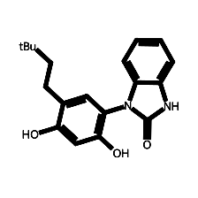 CC(C)(C)CCc1cc(-n2c(=O)[nH]c3ccccc32)c(O)cc1O